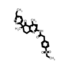 CCc1ccc(C2(C)CCc3nc(NC(=O)Cc4ccc(S(=O)(=O)CC)cc4)cc(C)c3C2=O)nn1